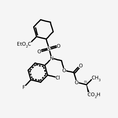 CCOC(=O)C1=CCCCC1S(=O)(=O)N(COC(=O)O[C@@H](C)C(=O)O)c1ccc(F)cc1Cl